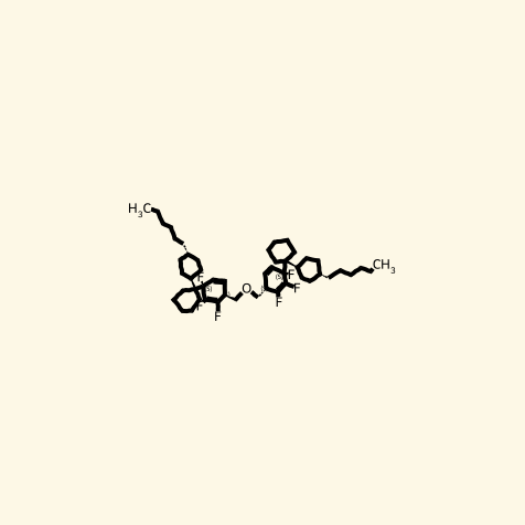 CCCCCC[C@H]1CC[C@H](C2([C@@]3(F)C=C[C@@H](COC[C@@H]4C=C[C@](F)(C5([C@H]6CC[C@H](CCCCCC)CC6)CCCCC5)C(F)=C4F)C(F)=C3F)CCCCC2)CC1